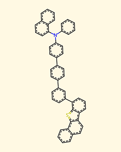 c1ccc(N(c2ccc(-c3ccc(-c4cccc(-c5cccc6c5sc5c7ccccc7ccc65)c4)cc3)cc2)c2cccc3ccccc23)cc1